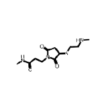 CNCCSC1CC(=O)N(CCC(=O)NC)C1=O